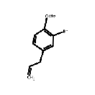 C=CCc1ccc(OC)c(Br)c1